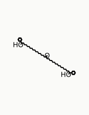 O=C(CCCCCCCCCCCCCCCCC(O)c1ccccc1)CCCCCCCCCCCCCCCCC(O)c1ccccc1